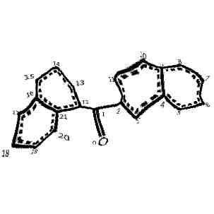 O=C(c1[c]c2ccccc2cc1)c1cccc2ccccc12